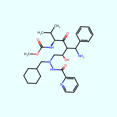 COC(=O)N[C@H](C(=O)C(C(N)c1ccccc1)[C@@H](O)CN(CC1CCCCC1)NC(=O)c1ccccn1)C(C)C